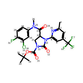 Cc1cc(C(F)(F)F)cc(N2C(=O)N(C(=O)OC(C)(C)C)CC2C(=O)N(C)c2ccc(F)c(Cl)c2)n1